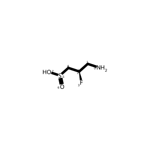 NC[C@@H](F)CS(=O)O